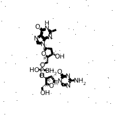 B[PH](O)(OC[C@H]1O[C@@H](n2cnc3c(=O)[nH]c(C)nc32)C[C@H]1O)O[C@@H]1C[C@H](n2cnc(N)nc2=O)O[C@@H]1CO